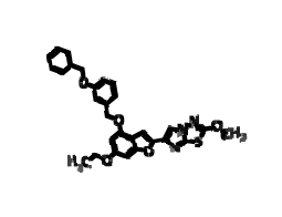 CCOc1cc(OCc2cccc(OCc3ccccc3)c2)c2cc(-c3cn4nc(OC)sc4n3)oc2c1